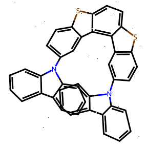 c1ccc2c(c1)c1ccccc1n2-c1ccc2sc3ccc4sc5ccc(-n6c7ccccc7c7ccccc76)cc5c4c3c2c1